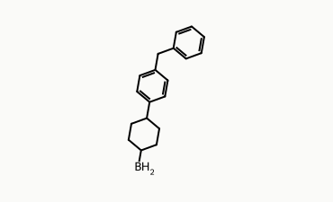 BC1CCC(c2ccc(Cc3ccccc3)cc2)CC1